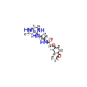 CC1CC2C(NC34CC(C3)C(NC(=O)COc3ccc(OC(F)(F)F)cc3)C4)NCCN2N1